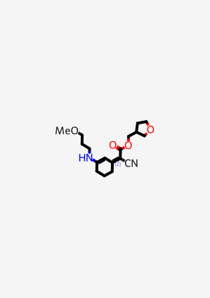 COCCCNC1=C/C(=C(/C#N)C(=O)OCC2CCOC2)CCC1